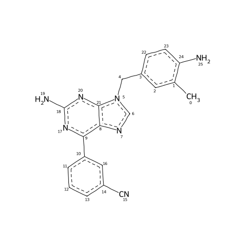 Cc1cc(Cn2cnc3c(-c4cccc(C#N)c4)nc(N)nc32)ccc1N